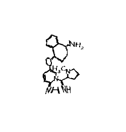 CN1CCCC1C(=N)n1cc(OC2CC[C@H](N)c3ccccc32)ccc1=N